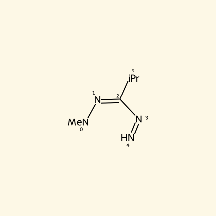 CN/N=C(\N=N)C(C)C